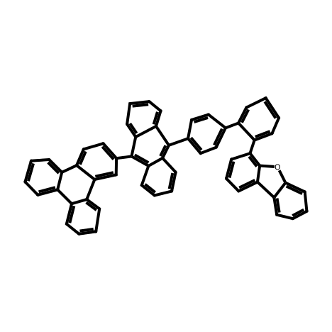 c1ccc(-c2cccc3c2oc2ccccc23)c(-c2ccc(-c3c4ccccc4c(-c4ccc5c6ccccc6c6ccccc6c5c4)c4ccccc34)cc2)c1